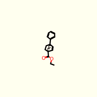 CCOC(=O)C12C=CC(c3ccccc3)(CC1)CC2